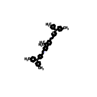 Cc1ccc(N(c2ccc(C)cc2)c2ccc(/C=C/c3ccc4c(c3)C(C)(C)c3cc(/C=C/c5ccc(N(c6ccc(C)cc6)c6ccc(C)cc6)cc5)ccc3-4)cc2)cc1